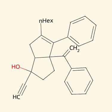 C#CC1(O)CCC2(C(=C)c3ccccc3)C(c3ccccc3)=C(CCCCCC)CC12